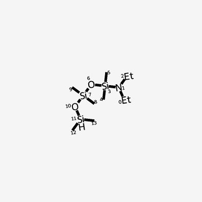 CCN(CC)[Si](C)(C)O[Si](C)(C)O[SiH](C)C